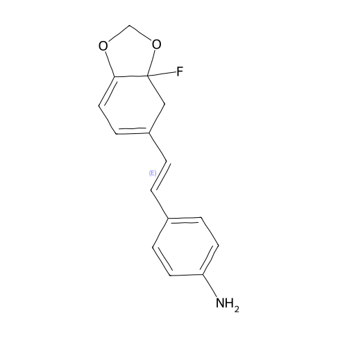 Nc1ccc(/C=C/C2=CC=C3OCOC3(F)C2)cc1